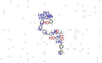 Cc1ncsc1-c1ccc([C@H](C)NC(=O)[C@@H]2C[C@@H](O)CN2C(=O)C(c2cc(N3CCC(CN4CCC(c5cc(N6CCC(NC7=C(C(=N)N)NNC(c8ccccc8O)=C7)CC6)ccn5)CC4)CC3)no2)C(C)C)cc1